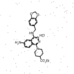 CCOC(=O)C1CCN(c2nnc(NCc3ccc4c(c3)OCO4)c3cc(N)ccc23)CC1.Cl